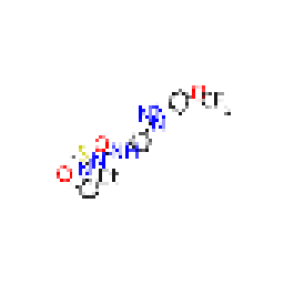 CCc1cccc(C)c1N1C(=O)CSC1=NC(=O)NCc1cccc(-c2ncn(-c3ccc(OC(F)(F)F)cc3)n2)c1